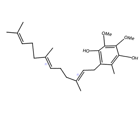 COc1c(O)c(C)c(C/C=C(\C)CC/C=C(\C)CCC=C(C)C)c(O)c1OC